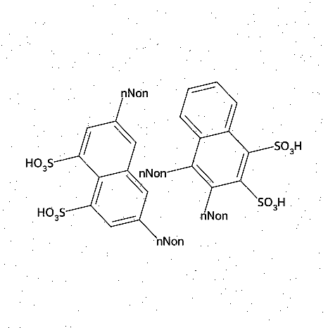 CCCCCCCCCc1c(S(=O)(=O)O)c(S(=O)(=O)O)c2ccccc2c1CCCCCCCCC.CCCCCCCCCc1cc(S(=O)(=O)O)c2c(S(=O)(=O)O)cc(CCCCCCCCC)cc2c1